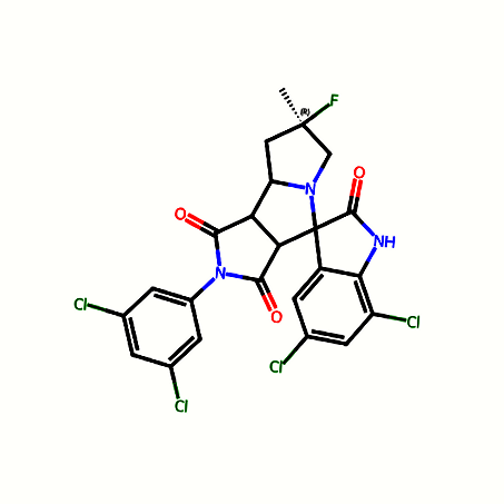 C[C@@]1(F)CC2C3C(=O)N(c4cc(Cl)cc(Cl)c4)C(=O)C3C3(C(=O)Nc4c(Cl)cc(Cl)cc43)N2C1